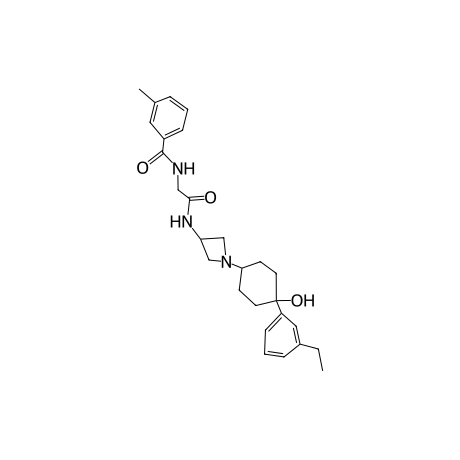 CCc1cccc(C2(O)CCC(N3CC(NC(=O)CNC(=O)c4cccc(C)c4)C3)CC2)c1